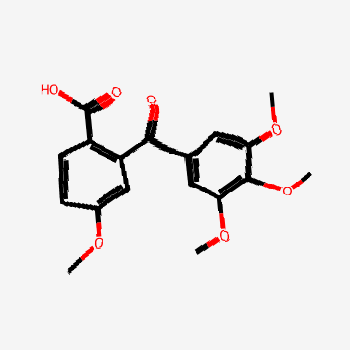 COc1ccc(C(=O)O)c(C(=O)c2cc(OC)c(OC)c(OC)c2)c1